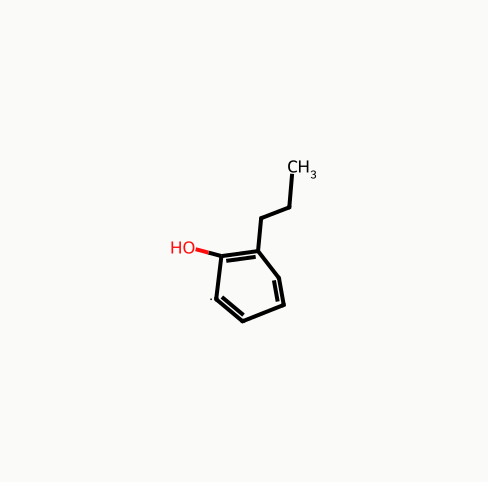 CCCc1ccc[c]c1O